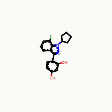 Oc1ccc(-c2nn(C3CCCC3)c3c(F)cccc23)c(O)c1